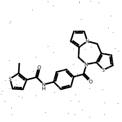 Cc1sccc1C(=O)Nc1ccc(C(=O)N2Cc3cccn3Cc3ccsc32)cc1